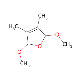 COC1OC(OC)C(C)=C1C